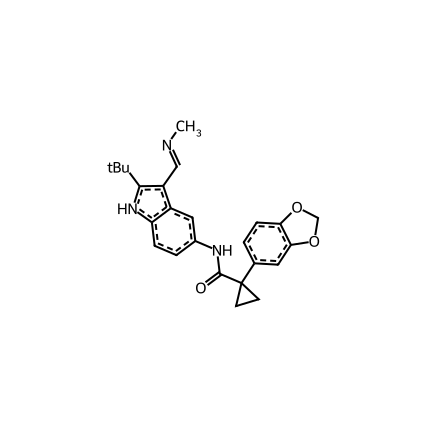 C/N=C/c1c(C(C)(C)C)[nH]c2ccc(NC(=O)C3(c4ccc5c(c4)OCO5)CC3)cc12